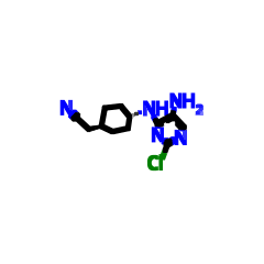 N#CC[C@H]1CC[C@H](Nc2nc(Cl)ncc2N)CC1